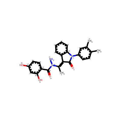 C/C(=C1\C(=O)N(c2ccc(C)c(C)c2)c2ccccc21)N(N)C(=O)c1ccc(O)cc1O